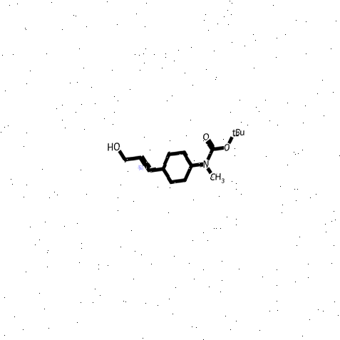 CN(C(=O)OC(C)(C)C)C1CCC(/C=C/CO)CC1